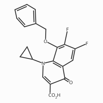 O=C(O)c1cn(C2CC2)c2c(OCc3ccccc3)c(F)c(F)cc2c1=O